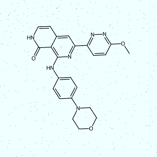 COc1ccc(-c2cc3cc[nH]c(=O)c3c(Nc3ccc(N4CCOCC4)cc3)n2)nn1